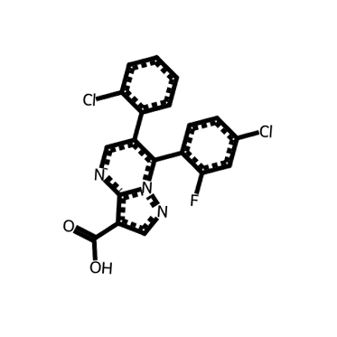 O=C(O)c1cnn2c(-c3ccc(Cl)cc3F)c(-c3ccccc3Cl)cnc12